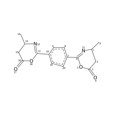 CC1CC(=O)OC(c2ccc(C3=NC(C)CC(=O)O3)cc2)=N1